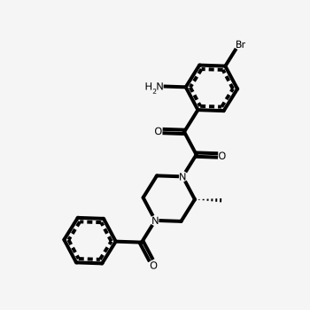 C[C@@H]1CN(C(=O)c2ccccc2)CCN1C(=O)C(=O)c1ccc(Br)cc1N